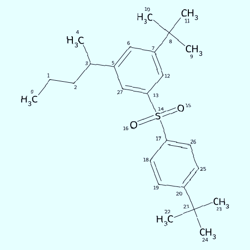 CCCC(C)c1cc(C(C)(C)C)cc(S(=O)(=O)c2ccc(C(C)(C)C)cc2)c1